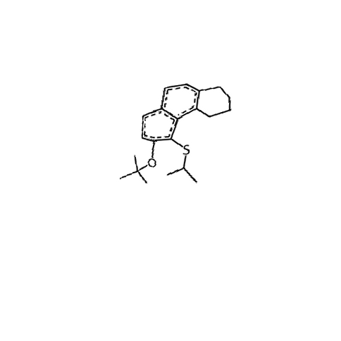 CC(C)Sc1c(OC(C)(C)C)ccc2ccc3c(c12)CCCC3